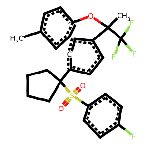 Cc1ccc(OC(C)(c2ccc(C3(S(=O)(=O)c4ccc(F)cc4)CCCC3)cc2)C(F)(F)F)cc1